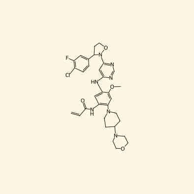 C=CC(=O)Nc1cc(Nc2cc(N3OCCC3c3ccc(Cl)c(F)c3)ncn2)c(OC)cc1N1CCC(N2CCOCC2)CC1